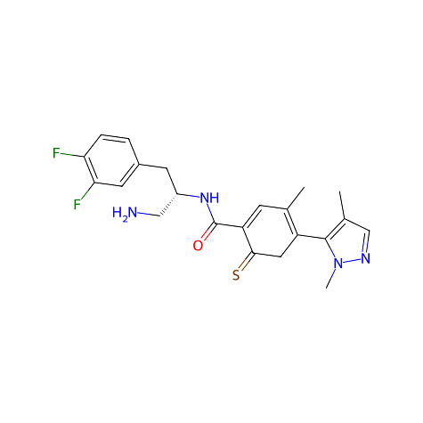 CC1=C(c2c(C)cnn2C)CC(=S)C(C(=O)N[C@H](CN)Cc2ccc(F)c(F)c2)=C1